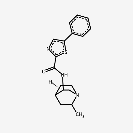 CC1CC2CCN1C[C@@H]2NC(=O)c1ncc(-c2ccccc2)s1